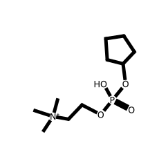 C[N+](C)(C)CCOP(=O)(O)OC1CCCC1